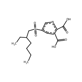 CCCCC(CC)CS(=O)(=O)c1cnc(C(=O)O)c(C(=O)O)c1